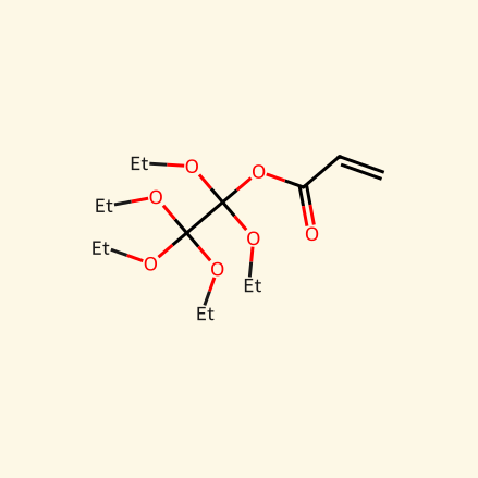 C=CC(=O)OC(OCC)(OCC)C(OCC)(OCC)OCC